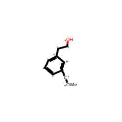 COCc1cccc(CCO)c1